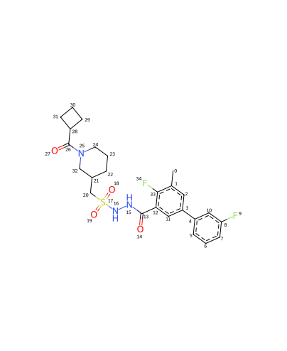 Cc1cc(-c2cccc(F)c2)cc(C(=O)NNS(=O)(=O)CC2CCCN(C(=O)C3CCC3)C2)c1F